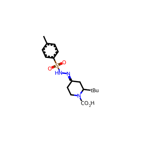 Cc1ccc(S(=O)(=O)NN=C2CCN(C(=O)O)C(C(C)(C)C)C2)cc1